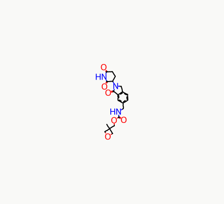 CC1(COC(=O)NCc2ccc3c(c2)C(=O)N(C2CCC(=O)NC2=O)C3)COC1